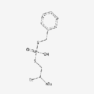 CCCCC(CC)CSP(=O)(O)SCc1ccccc1